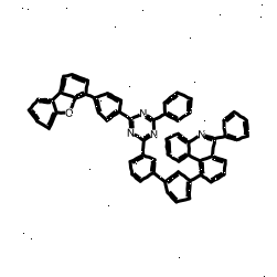 c1ccc(-c2nc(-c3ccc(-c4cccc5c4oc4ccccc45)cc3)nc(-c3cccc(-c4cccc(-c5cccc6c(-c7ccccc7)nc7ccccc7c56)c4)c3)n2)cc1